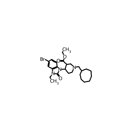 CCOC(=O)C1CN(CC2CCCCCCC2)CCC1n1c(=O)n(CC)c2cc(Br)ccc21